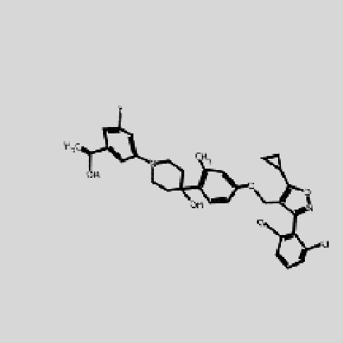 C=C(O)c1cc(F)cc(N2CCC(O)(c3ccc(OCc4c(-c5c(Cl)cccc5Cl)noc4C4CC4)cc3C)CC2)c1